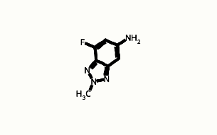 Cn1nc2cc(N)cc(F)c2n1